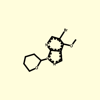 COc1c(Br)cnc2c1cnn2C1CCCCO1